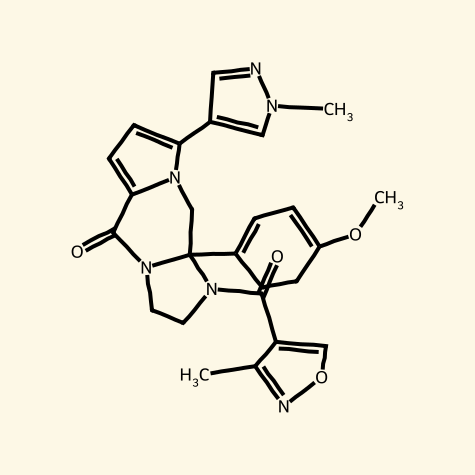 COC1=CC=C(C23Cn4c(ccc4-c4cnn(C)c4)C(=O)N2CCN3C(=O)c2conc2C)CC1